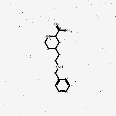 NC(=O)C1CC([CH]CNCc2ccccc2)CCN1